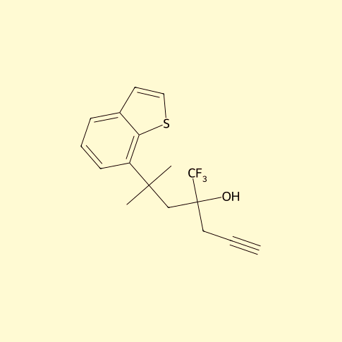 C#CCC(O)(CC(C)(C)c1cccc2ccsc12)C(F)(F)F